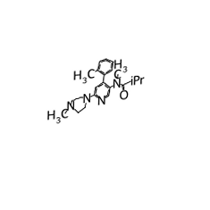 Cc1ccccc1-c1cc(N2CCN(C)CC2)ncc1N(C)C(=O)C(C)C